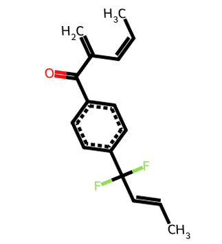 C=C(/C=C\C)C(=O)c1ccc(C(F)(F)/C=C/C)cc1